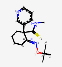 CNC(=S)C1(c2cccnc2)CCCC/C1=N\OC(C)(C)C